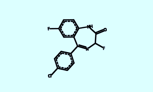 O=C1Nc2ccc(F)cc2C(c2ccc(Cl)cc2)=NC1F